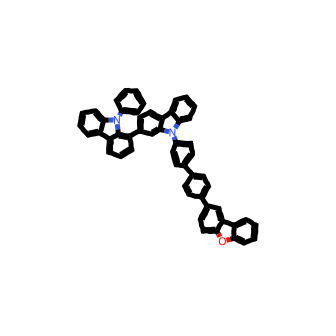 c1ccc(-n2c3ccccc3c3cccc(-c4ccc5c6ccccc6n(-c6ccc(-c7ccc(-c8ccc9oc%10ccccc%10c9c8)cc7)cc6)c5c4)c32)cc1